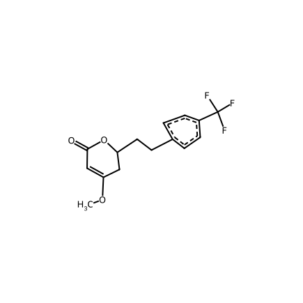 COC1=CC(=O)OC(CCc2ccc(C(F)(F)F)cc2)C1